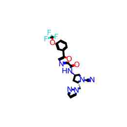 N#CN1C[C@H](NC(=O)c2ncc(-c3cccc(OC(F)(F)F)c3)o2)C[C@H]1Cn1cccn1